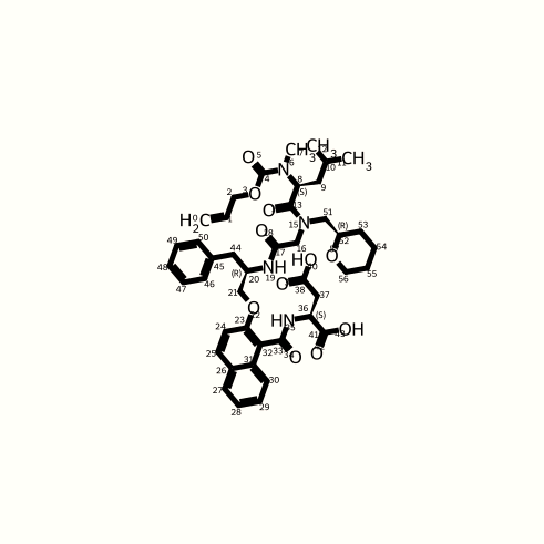 C=CCOC(=O)N(C)[C@@H](CC(C)C)C(=O)N(CC(=O)N[C@@H](COc1ccc2ccccc2c1C(=O)N[C@@H](CC(=O)O)C(=O)O)Cc1ccccc1)C[C@H]1CCCCO1